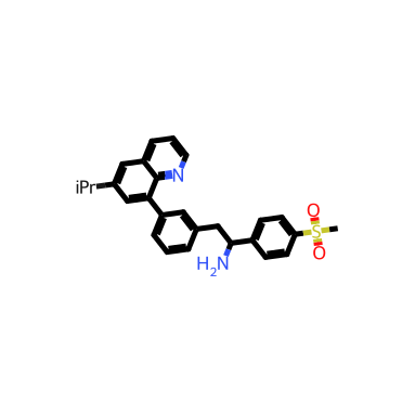 CC(C)c1cc(-c2cccc(CC(N)c3ccc(S(C)(=O)=O)cc3)c2)c2ncccc2c1